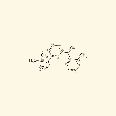 Cc1ccccc1C(=O)c1cccc(OC(C)(C)C(=O)O)c1